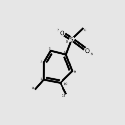 Cc1ccc(S(C)(=O)=O)cc1C